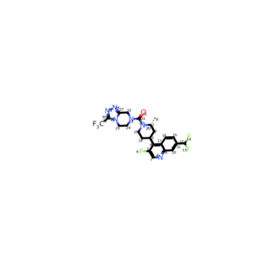 C[C@@H]1CC(c2c(F)cnc3cc(C(F)F)ccc23)CCN1C(=O)N1CCn2c(nnc2C(F)(F)F)C1